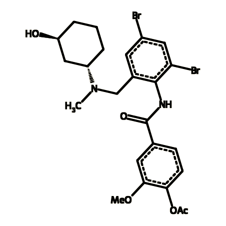 COc1cc(C(=O)Nc2c(Br)cc(Br)cc2CN(C)[C@H]2CCC[C@H](O)C2)ccc1OC(C)=O